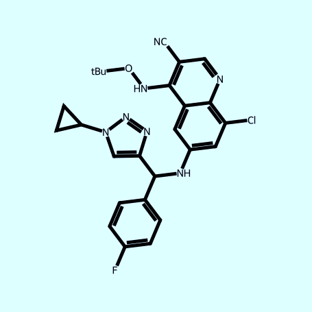 CC(C)(C)ONc1c(C#N)cnc2c(Cl)cc(NC(c3ccc(F)cc3)c3cn(C4CC4)nn3)cc12